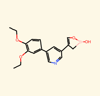 CCOc1ccc(-c2cncc(C3=COB(O)C3)c2)cc1OCC